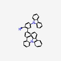 N#Cc1ccc(-n2c3ccccc3c3ccccc32)cc1-c1ccc(-c2ccccc2-n2c3c(c4ccccc42)C=CC=CC3)cc1